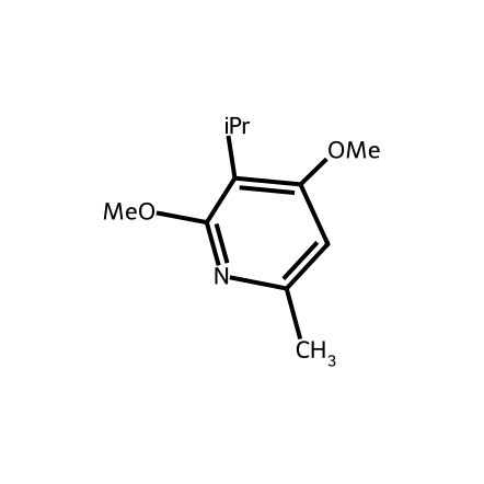 COc1cc(C)nc(OC)c1C(C)C